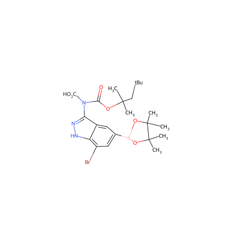 CC(C)(C)CC(C)(C)OC(=O)N(C(=O)O)c1n[nH]c2c(Br)cc(B3OC(C)(C)C(C)(C)O3)cc12